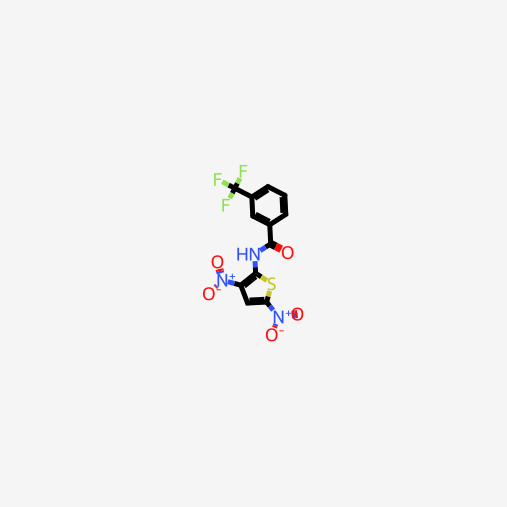 O=C(Nc1sc([N+](=O)[O-])cc1[N+](=O)[O-])c1cccc(C(F)(F)F)c1